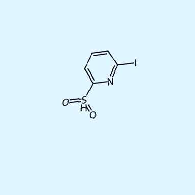 O=[SH](=O)c1cccc(I)n1